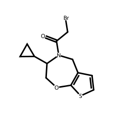 O=C(CBr)N1Cc2ccsc2OCC1C1CC1